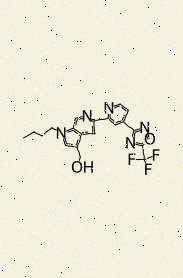 CCCCn1cc(CO)c2cc(-c3cc(-c4noc(C(F)(F)F)n4)ccn3)ncc21